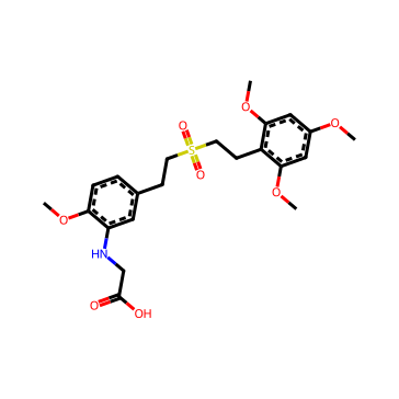 COc1cc(OC)c(CCS(=O)(=O)CCc2ccc(OC)c(NCC(=O)O)c2)c(OC)c1